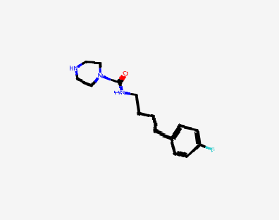 O=C(NCCCCc1ccc(F)cc1)N1CCNCC1